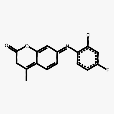 CC1=C2C=CC(=Nc3ccc(F)cc3Cl)C=C2OC(=O)C1